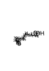 C/C(=C\CCC(C)C(=O)O)CCCC(C)CCCC(C)CCC1=CC(N=O)C(C)C(C)C1